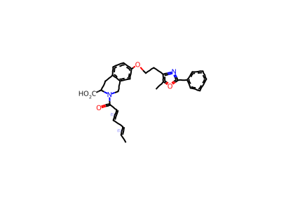 C/C=C/C=C/C(=O)N1Cc2cc(OCCc3nc(-c4ccccc4)oc3C)ccc2CC1C(=O)O